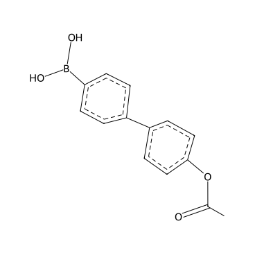 CC(=O)Oc1ccc(-c2ccc(B(O)O)cc2)cc1